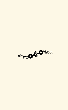 CCCCCCCCOc1ccc(-c2ncc(-c3ccc(OCC(F)CCC)cc3)cn2)cc1